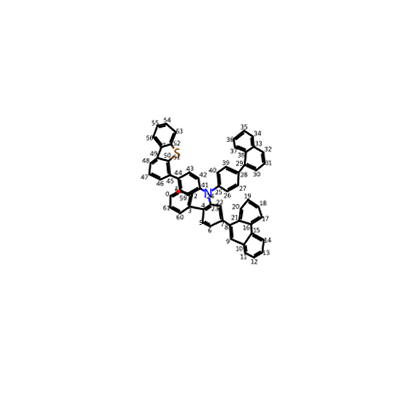 c1ccc(-c2ccc(-c3cc4ccccc4c4ccccc34)cc2N(c2ccc(-c3cccc4ccccc34)cc2)c2ccc(-c3cccc4c3sc3ccccc34)cc2)cc1